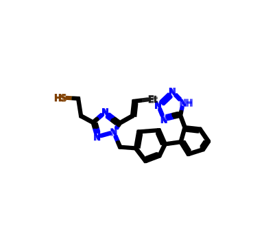 CCC=Cc1nc(CCS)nn1Cc1ccc(-c2ccccc2-c2nnn[nH]2)cc1